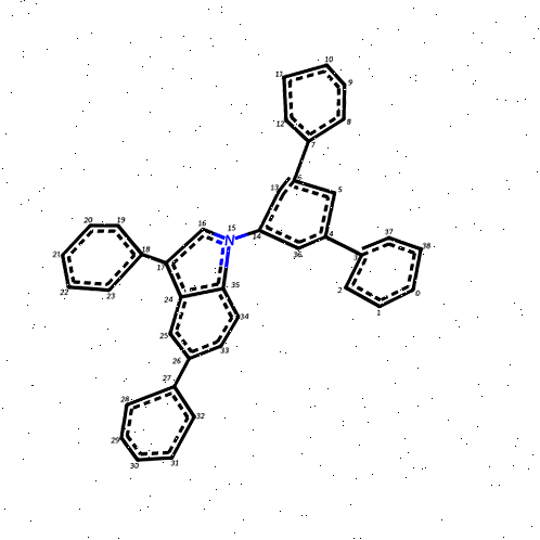 c1ccc(-c2cc(-c3ccccc3)cc(-n3cc(-c4ccccc4)c4cc(-c5ccccc5)ccc43)c2)cc1